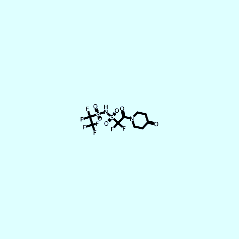 O=C1CCN(C(=O)C(F)(F)S(=O)(=O)NS(=O)(=O)C(F)(F)C(F)(F)F)CC1